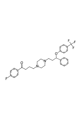 O=C(CCCN1CCN(CCC(Oc2ccc(C(F)(F)F)cc2)c2ccccc2)CC1)c1ccc(F)cc1